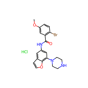 COc1ccc(Br)c(C(=O)Nc2cc(N3CCNCC3)c3occc3c2)c1.Cl